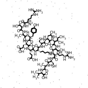 CC[C@H](C)[C@H](NC(=O)[C@H](CC(C)C)NC(=O)[C@H](CS)NC(=O)[C@H](CCCCN)NC(=O)[C@H](CCC(=O)O)NC(=O)[C@H](CCC(=O)O)NC(=O)[C@H](Cc1ccc(O)cc1)NC(=O)[C@H](C)NC(=O)[C@@H](NC(=O)[C@@H](N)CCCNC(=N)N)[C@@H](C)O)C(=O)N[C@H](C(=O)N[C@@H](CCCNC(=N)N)C(=O)N[C@@H](CS)C(=O)N[C@@H](C)C(=O)N[C@H](C(=O)O)C(C)C)[C@@H](C)O